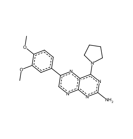 COc1ccc(-c2cnc3nc(N)nc(N4CCCC4)c3n2)cc1OC